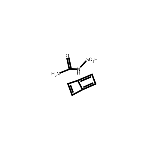 NC(=O)NS(=O)(=O)O.c1cc2ccc1-2